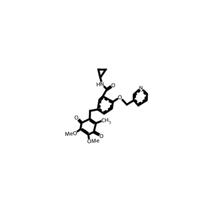 COC1=C(OC)C(=O)C(Cc2ccc(OCc3cccnc3)c(C(=O)NC3CC3)c2)=C(C)C1=O